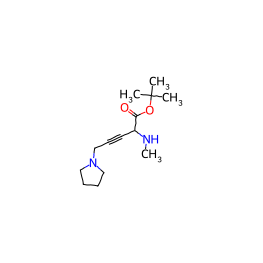 CNC(C#CCN1CCCC1)C(=O)OC(C)(C)C